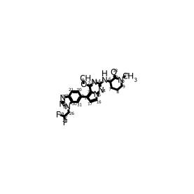 COc1nc(NC2CCCN(C)C2=O)nn2ccc(-c3ccc4nnn(CC(F)F)c4c3)c12